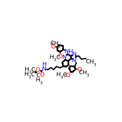 CCCCc1nc2c(Nc3ccc(OC)cc3OC)nc3cc(CCCCCNC(=O)OC(C)(C)C)ccc3c2n1Cc1ccc(OC)cc1OC